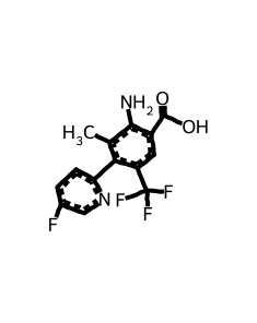 Cc1c(N)c(C(=O)O)cc(C(F)(F)F)c1-c1ccc(F)cn1